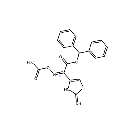 CC(=O)O/N=C(\C(=O)OC(c1ccccc1)c1ccccc1)c1csc(=N)[nH]1